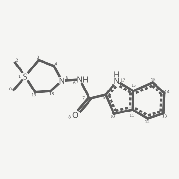 CS1(C)CCN(NC(=O)c2cc3ccccc3[nH]2)CC1